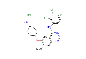 COc1cc2ncnc(Nc3cccc(Cl)c3F)c2cc1O[C@H]1CC[C@@H](N)CC1.Cl.Cl